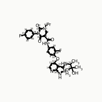 CC(C)n1cc(C(=O)Nc2ccc(Oc3ccnc4[nH]nc(NC(C)C(C)(C)O)c34)c(F)c2)c(=O)n(-c2ccc(F)cc2)c1=O